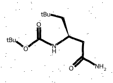 CC(C)(C)C[C@@H](CC(N)=O)NC(=O)OC(C)(C)C